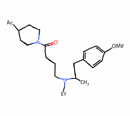 CCN(CCCC(=O)N1CCC(C(C)=O)CC1)C(C)Cc1ccc(OC)cc1